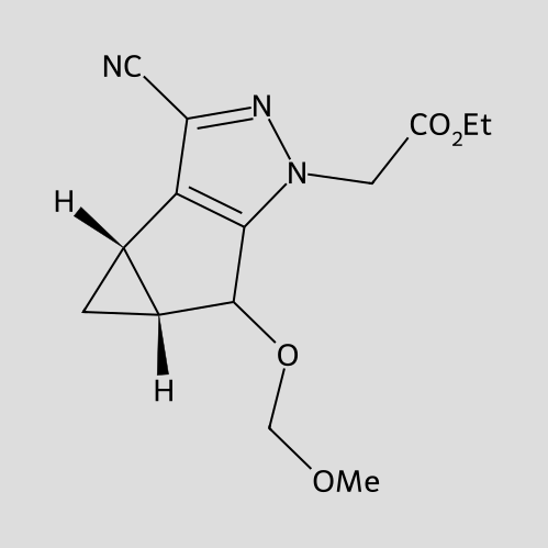 CCOC(=O)Cn1nc(C#N)c2c1C(OCOC)[C@@H]1C[C@H]21